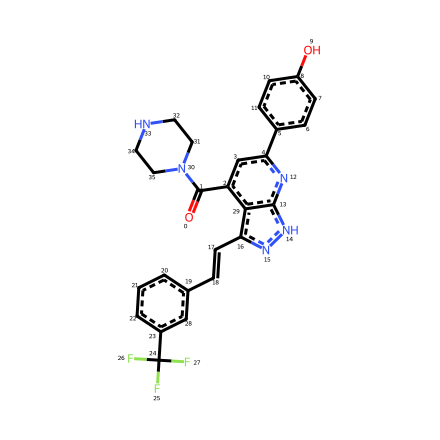 O=C(c1cc(-c2ccc(O)cc2)nc2[nH]nc(C=Cc3cccc(C(F)(F)F)c3)c12)N1CCNCC1